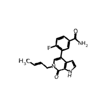 C/C=C/Cn1cc(-c2cc(C(N)=O)ccc2F)c2cc[nH]c2c1=O